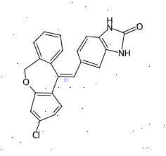 O=c1[nH]c2ccc(/C=C3\c4ccccc4COc4cc(Cl)ccc43)cc2[nH]1